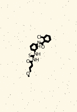 COC/C=C/C(=O)NC(=S)Nc1cccc(NC(=O)c2ccccc2Cl)c1